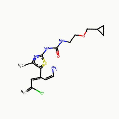 C=C(Cl)/C=C(\C=C/N)c1sc(NC(=O)NCCOCC2CC2)nc1C